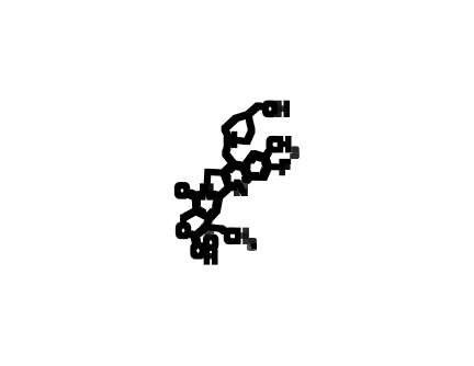 CC[C@@]1(O)C(=O)OCc2c1cc1n(c2=O)Cc2c-1nc1cc(F)c(C)cc1c2CN1CCC(CO)CC1